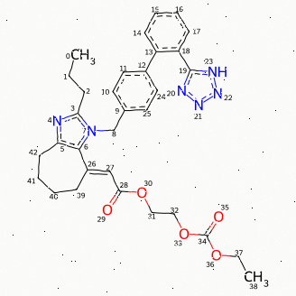 CCCc1nc2c(n1Cc1ccc(-c3ccccc3-c3nnn[nH]3)cc1)C(=CC(=O)OCCOC(=O)OCC)CCCC2